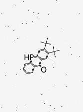 CC(C)(C)c1cc2[pH]c3ccccc3c(=O)c2cc1C(C)(C)C